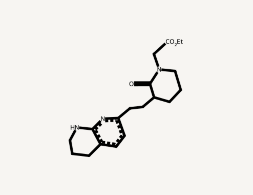 CCOC(=O)CN1CCCC(CCc2ccc3c(n2)NCCC3)C1=O